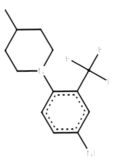 CC1CCN(c2ccc(N)cc2C(F)(F)F)CC1